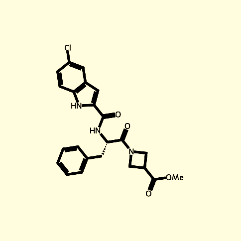 COC(=O)C1CN(C(=O)[C@H](Cc2ccccc2)NC(=O)c2cc3cc(Cl)ccc3[nH]2)C1